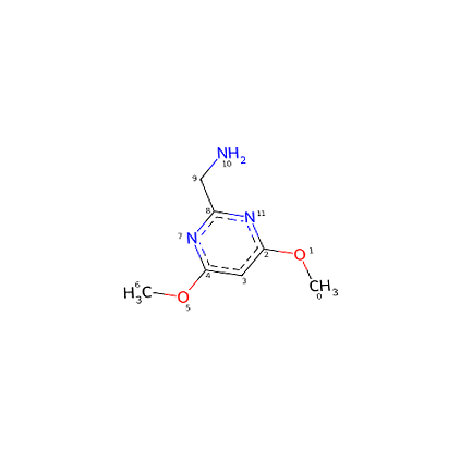 COc1cc(OC)nc(CN)n1